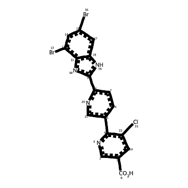 O=C(O)c1cnc(-c2ccc(-c3nc4c(Br)cc(Br)cc4[nH]3)nc2)c(Cl)c1